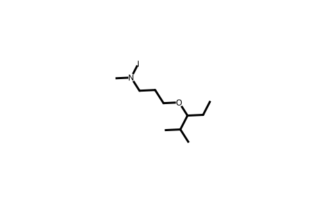 CCC(OCCCN(C)I)C(C)C